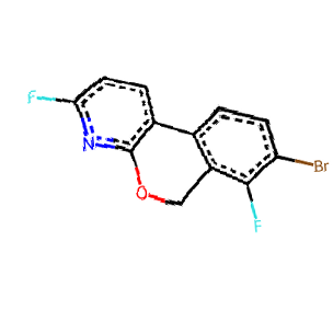 Fc1ccc2c(n1)OCc1c-2ccc(Br)c1F